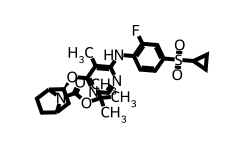 Cc1c(Nc2ccc(S(=O)(=O)C3CC3)cc2F)ncnc1O[C@H]1CC2CCC1N2C(=O)OC(C)(C)C